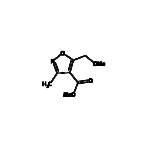 COCc1onc(C)c1C(=O)OC